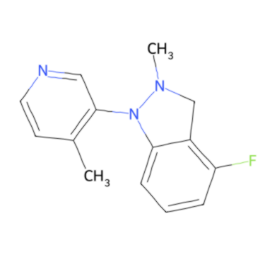 Cc1ccncc1N1c2cccc(F)c2CN1C